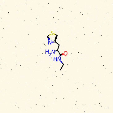 CCNC(=O)C(N)Cc1cscn1